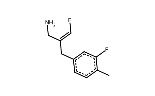 Cc1ccc(CC(=CF)CN)cc1F